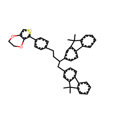 CC1(C)c2ccccc2-c2ccc(CC(CCc3ccc(-c4scc5c4OCCO5)cc3)c3ccc4c(c3)C(C)(C)c3ccccc3-4)cc21